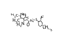 Cc1ccc(SC2CN(C(=O)c3sc4nnc(C)c(C)c4c3N)C2)c(F)c1